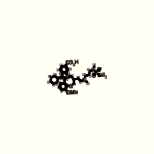 COc1cccc2c1OC[C@H](CCN(C)CCCN(C)S(N)(=O)=O)Cn1c-2c(C2CCCCC2)c2ccc(C(=O)O)cc21